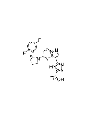 C[C@H](O)c1nnc(-c2cnn3ccc(N4CCC[C@@H]4c4cc(F)ccc4F)nc23)[nH]1